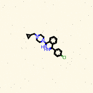 N=C(c1ccc(Cl)cc1)c1ccccc1C(=N)N1CCN(CC2CC2)CC1